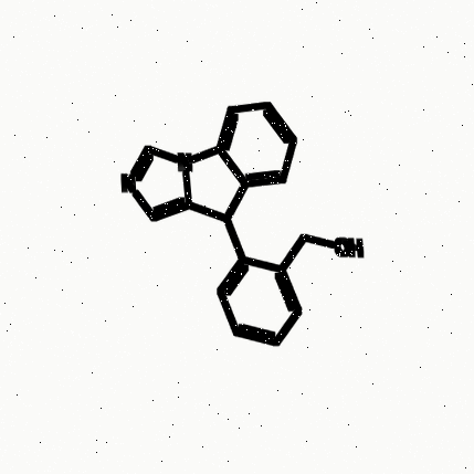 OCc1ccccc1C1c2ccccc2-n2cncc21